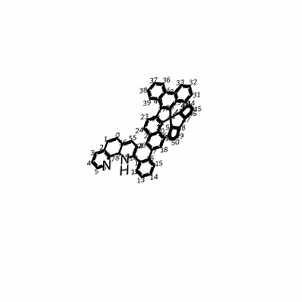 C1=Cc2cccnc2C2NC(c3ccccc3-c3ccc4c5c(ccc4c3)-c3c(c4ccccc4c4ccccc34)C53c4ccccc4-c4ccccc43)=CC=C12